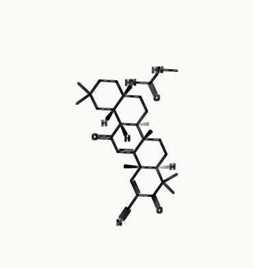 CNC(=O)N[C@]12CCC(C)(C)C[C@H]1[C@H]1C(=O)C=C3[C@@]4(C)C=C(C#N)C(=O)C(C)(C)[C@@H]4CC[C@@]3(C)[C@]1(C)CC2